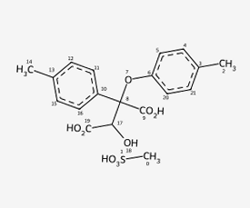 CS(=O)(=O)O.Cc1ccc(OC(C(=O)O)(c2ccc(C)cc2)C(O)C(=O)O)cc1